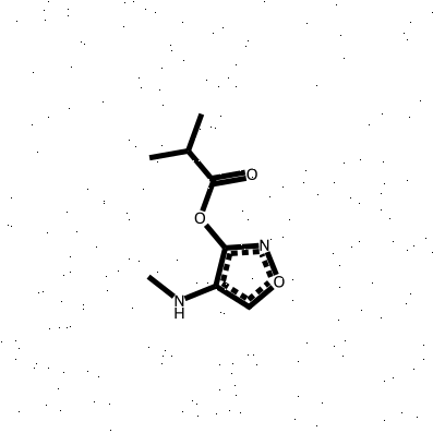 CNc1conc1OC(=O)C(C)C